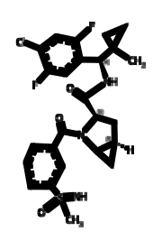 CC1([C@@H](NC(=O)[C@H]2C[C@H]3CC3N2C(=O)c2cccc(S(C)(=N)=O)c2)c2cc(F)c(Cl)cc2F)CC1